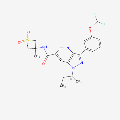 CC[C@@H](C)n1nc(-c2cccc(OC(F)F)c2)c2ncc(C(=O)NC3(C)CS(=O)(=O)C3)cc21